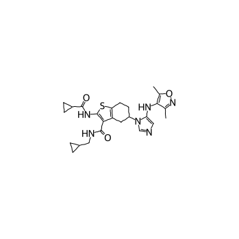 Cc1noc(C)c1Nc1cncn1C1CCc2sc(NC(=O)C3CC3)c(C(=O)NCC3CC3)c2C1